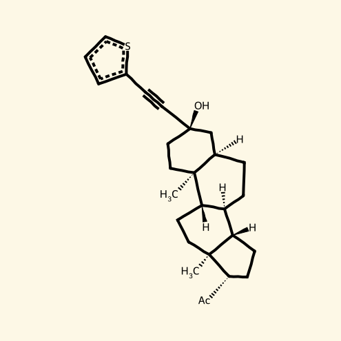 CC(=O)[C@H]1CC[C@H]2[C@@H]3CC[C@@H]4C[C@@](O)(C#Cc5cccs5)CC[C@]4(C)[C@H]3CC[C@]12C